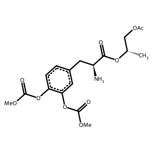 COC(=O)Oc1ccc(C[C@H](N)C(=O)O[C@@H](C)COC(C)=O)cc1OC(=O)OC